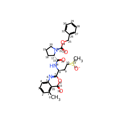 Cc1cccc2nc([C@H](CC[S+](C)[O-])NC(=O)[C@@H]3CCCN3C(=O)OCc3ccccc3)oc(=O)c12